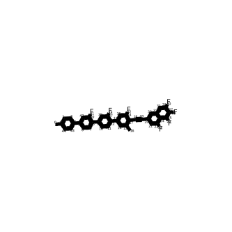 Cc1ccc(-c2ccc(-c3ccc(-c4cc(C)c(C#Cc5cc(F)c6c(F)c(F)c(F)cc6c5)c(F)c4)c(F)c3)c(F)c2)cc1